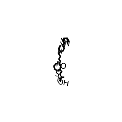 C/C(=N\O)c1cc2c(s1)CCCN(CCCCN1CCN(c3ncccn3)CC1)C2=O